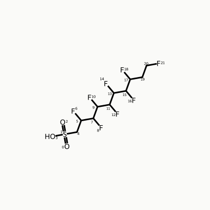 O=S(=O)(O)CC(F)C(F)C(F)C(F)C(F)C(F)C(F)CCF